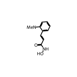 CNc1ccccc1/C=C/C(=O)NO